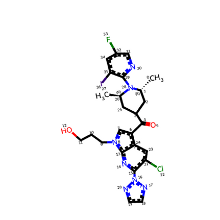 C[C@@H]1CC(C(=O)c2cn(CCCO)c3nc(-n4nccn4)c(Cl)cc23)C[C@@H](C)N1c1ncc(F)cc1I